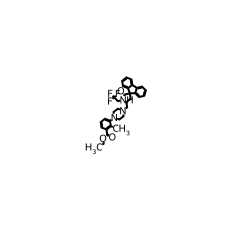 CCOC(=O)c1cccc(N2CCN(CCCC3(C(=O)NCC(F)(F)F)c4ccccc4-c4ccccc43)CC2)c1C